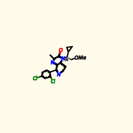 COC[C@@H](C1CC1)n1c(=O)c(C)nc2c(-c3ccc(Cl)cc3Cl)nccc21